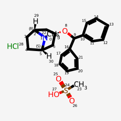 CN1[C@@H]2CC[C@H]1C[C@@H](OC(c1ccccc1)c1ccccc1)C2.CS(=O)(=O)O.Cl